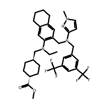 CCN(C[C@H]1CC[C@H](C(=O)OC)CC1)c1cc2c(cc1CN(Cc1cc(C(F)(F)F)cc(C(F)(F)F)c1)c1ccn(C)n1)CCCC2